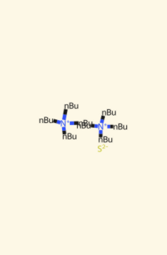 CCCC[N+](CCCC)(CCCC)CCCC.CCCC[N+](CCCC)(CCCC)CCCC.[S-2]